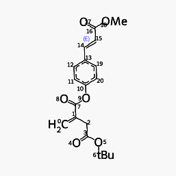 C=C(CC(=O)OC(C)(C)C)C(=O)Oc1ccc(/C=C/C(=O)OC)cc1